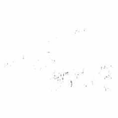 CCN1CCN(C(=O)NC(C(=O)N[C@]2(NC=O)C(=O)N3C(C(=O)[O-])=C(CSc4nnnn4N)CS[C@H]32)c2ccc(OC(C)=O)cc2)C(=O)C1=O.[Na+]